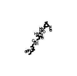 CCC(CC(C)(C)CC(C)CNC(=O)OCCc1c(C)[nH]c(NC(=O)NCC2(C)CC(N=C=O)CC(C)(C)C2)nc1=O)N=C=O